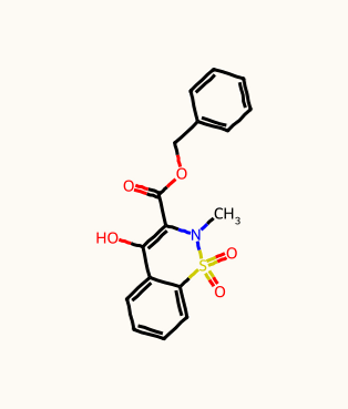 CN1C(C(=O)OCc2ccccc2)=C(O)c2ccccc2S1(=O)=O